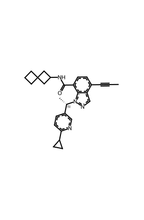 CC#Cc1ccc(C(=O)NC2CC3(CCC3)C2)c2c1cnn2[C@@H](C)c1ccc(C2CC2)nc1